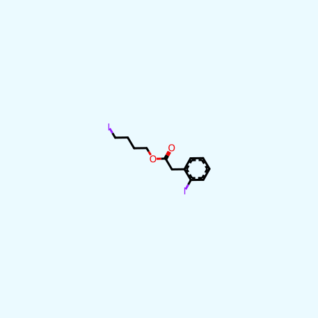 O=C(Cc1ccccc1I)OCCCCI